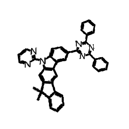 CC1(C)c2ccccc2-c2cc3c4cc(-c5nc(-c6ccccc6)nc(-c6ccccc6)n5)ccc4n(-c4ncccn4)c3cc21